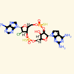 Nc1nc(N)c2ccn([C@@H]3O[C@@H]4COP(=O)(S)O[C@H]5[C@@H](Cl)[C@H](n6cnc7c(N)ncnc76)O[C@@H]5COP(=O)(S)O[C@@H]3[C@@H]4O)c2n1